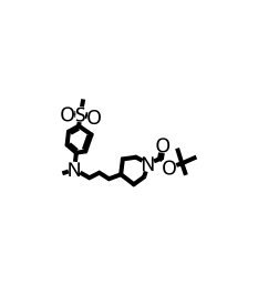 CN(CCCC1CCN(C(=O)OC(C)(C)C)CC1)c1ccc(S(C)(=O)=O)cc1